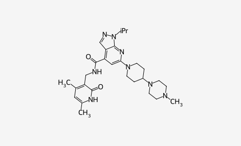 Cc1cc(C)c(CNC(=O)c2cc(N3CCC(N4CCN(C)CC4)CC3)nc3c2cnn3C(C)C)c(=O)[nH]1